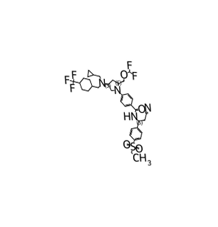 CCS(=O)(=O)c1ccc([C@H](CC#N)NC(=O)c2ccc(N3C[C@@H](N(CC4CC4)CC4CCC(C(F)(F)F)CC4)C[C@H]3COC(F)F)cc2)cc1